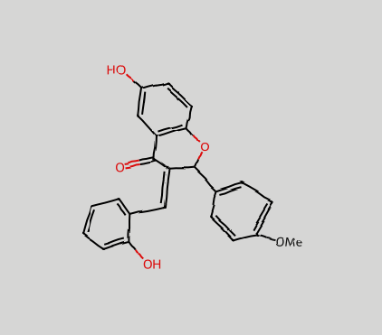 COc1ccc(C2Oc3ccc(O)cc3C(=O)C2=Cc2ccccc2O)cc1